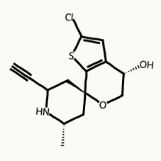 C#CC1C[C@]2(C[C@H](C)N1)OC[C@@H](O)c1cc(Cl)sc12